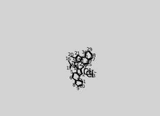 CC1=Cc2c(ccc3ccccc23)[CH]1[Ti+2](=[C](C)C)[CH]1C(C)=Cc2c1ccc1ccccc21.[Cl-].[Cl-]